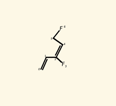 C=C/C(F)=C\CF